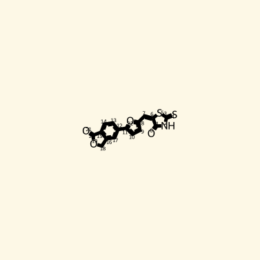 O=C1NC(=S)S/C1=C/c1ccc(-c2ccc3c(c2)COC3=O)o1